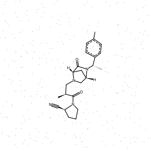 Cc1ccc([C@H](C)N2C(=O)[C@@H]3C[C@H]2CN3C[C@H](C)C(=O)N2CCC[C@H]2C#N)cc1